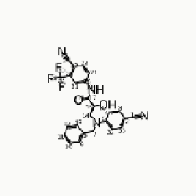 N#Cc1ccc(N(Cc2ccccc2)CC(O)C(=O)Nc2ccc(C#N)c(C(F)(F)F)c2)cc1